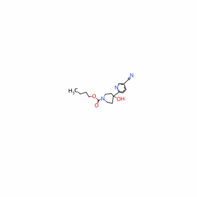 CCCCOC(=O)N1CCC(O)(c2ccc(C#N)cn2)CC1